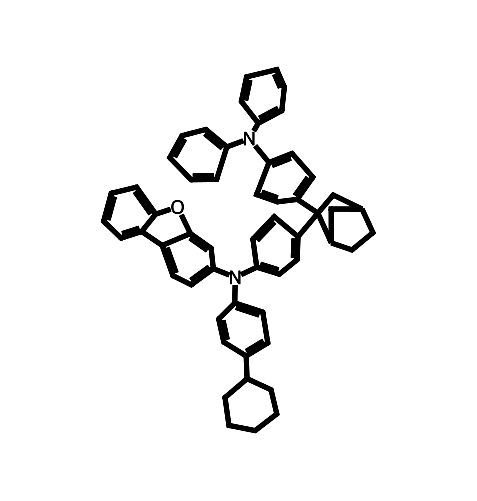 c1ccc(N(c2ccccc2)c2ccc(C3(c4ccc(N(c5ccc(C6CCCCC6)cc5)c5ccc6c(c5)oc5ccccc56)cc4)CC4CCC3C4)cc2)cc1